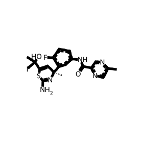 Cc1cnc(C(=O)Nc2ccc(F)c([C@]3(C)C=C(C(C)(O)I)SC(N)=N3)c2)cn1